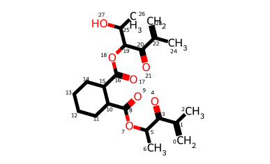 C=C(C)C(=O)C(C)OC(=O)C1CCCCC1C(=O)OC(C(=O)C(=C)C)C(C)O